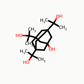 CC(C)(O)C12CC3(O)CC(C(C)(C)O)(C1)CC(C(C)(C)O)(C3)C2